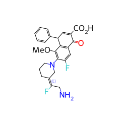 COc1c2c(cc(F)c1N1CCC/C(=C(\F)CN)C1)C(=O)C(C(=O)O)=CC2c1ccccc1